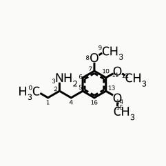 CCC(N)Cc1cc(OC)c(OC)c(OC)c1